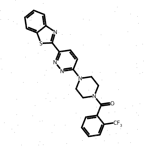 O=C(c1ccccc1C(F)(F)F)N1CCN(c2ccc(-c3nc4ccccc4s3)nn2)CC1